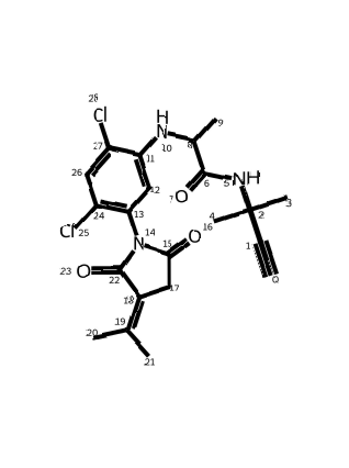 C#CC(C)(C)NC(=O)C(C)Nc1cc(N2C(=O)CC(=C(C)C)C2=O)c(Cl)cc1Cl